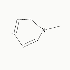 CN1C=C[C]=CC1